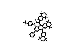 CC(C)(C)c1ccc(N2c3cc(-c4ccccc4)cc4c3B(c3cc5c(cc3N4c3ccc4c(c3)C(C)(C)CCC4(C)C)C(C)(C)CCC5(C)C)c3c2oc2cc4c(cc32)C(C)(C)CCC4(C)C)cc1